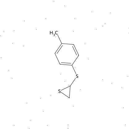 Cc1ccc(SC2CS2)cc1